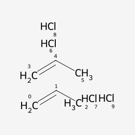 C=CC.C=CC.Cl.Cl.Cl.Cl